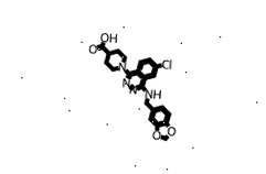 O=C(O)C1CCN(c2nnc(NCc3ccc4c(c3)OCO4)c3cc(Cl)ccc23)CC1